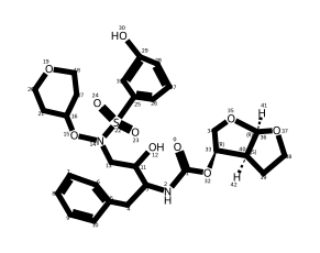 O=C(NC(Cc1ccccc1)C(O)CN(OC1CCOCC1)S(=O)(=O)c1cccc(O)c1)O[C@H]1CO[C@H]2OCC[C@H]21